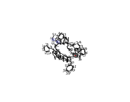 C=C1Cc2c(nnn2Cc2ccccc2)C2=C(CCC3N4c5ccccc5CC5N(CCCC[N+]3(I)c3ccccc34)c3ccccc3N5/C1=C/C=C\C)P(Cc1ccccc1)N=[PH]2C